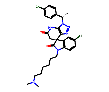 C[C@@H](c1ccc(Cl)cc1)n1nnc2c1NC(=O)C[C@]21C(=O)N(CCCCCCN(C)C)c2ccc(Cl)cc21